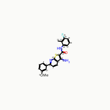 COc1cccc(-c2ccc3c(N)c(C(=O)Nc4cccc(F)c4C)sc3n2)c1